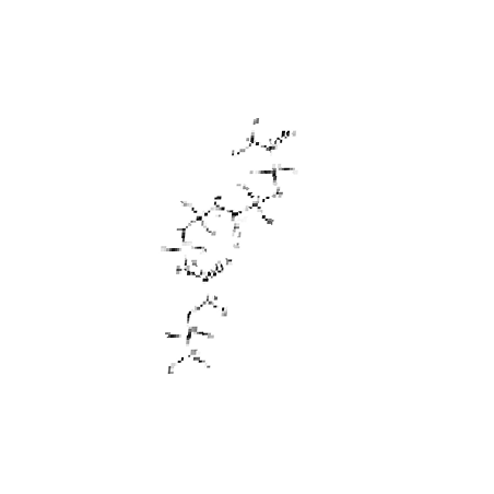 CC(C)C(=O)C(C)(C)CC(C)(C)C(=O)NC(C)(C)CC(C)(C)NC(=O)C(C)CC(C)(C)C(C)C